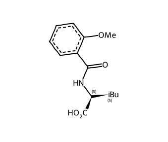 CC[C@H](C)[C@H](NC(=O)c1ccccc1OC)C(=O)O